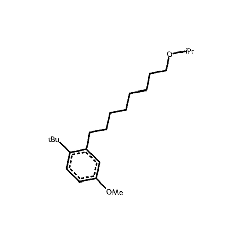 COc1ccc(C(C)(C)C)c(CCCCCCCCOC(C)C)c1